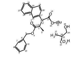 C[C@@H](C(=O)OCc1ccccc1)N(C(=O)OC(C)(C)C)c1ccc2ccccc2c1.N[C@@H](CO)C(=O)O